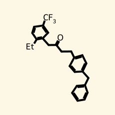 CCc1ccc(C(F)(F)F)cc1CC(=O)CCc1ccc(Cc2ccccc2)cc1